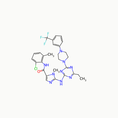 CCc1nc(Nc2ncc(C(=O)Nc3c(C)cccc3Cl)n2C)nc(N2CCN(c3cccc(C(F)(F)F)c3)CC2)n1